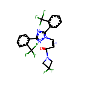 O=C(/C=C\n1nc(-c2ccccc2C(F)(F)F)nc1-c1ccccc1C(F)(F)F)N1CC(F)(F)C1